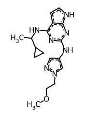 COCCn1cc(Nc2nc(NC(C)C3CC3)c3cc[nH]c3n2)cn1